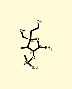 B[C@@H]1O[C@@](CO)(CCO)C(C)[C@@H]1O[Si](C)(C)C(C)(C)C